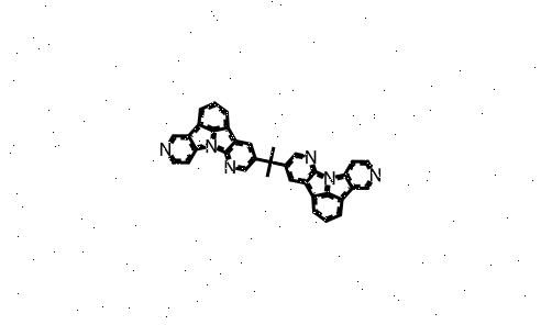 CC(C)(c1cnc2c(c1)c1cccc3c4cnccc4n2c31)c1cnc2c(c1)c1cccc3c4cnccc4n2c31